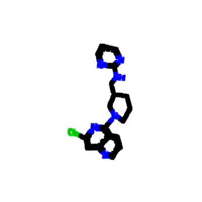 Clc1cc2ncccc2c(N2CCCC(CNc3ncccn3)C2)n1